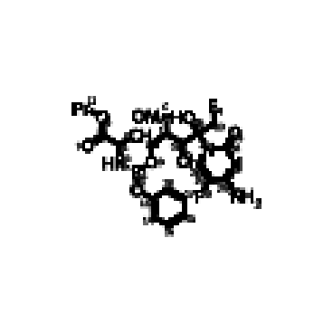 COC(CO[P@@](NC(C)C(=O)OC(C)C)Oc1ccccc1)C(O)C(O)(CF)n1cc(F)c(N)nc1=O